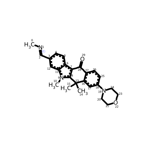 C/N=C/c1ccc2c3c(n(C)c2c1)C(C)(C)c1cc(N2CCOCC2)ccc1C3=O